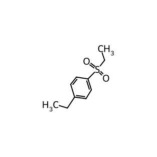 CCc1ccc(S(=O)(=O)CC)cc1